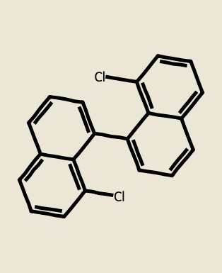 Clc1cccc2cccc(-c3cccc4cccc(Cl)c34)c12